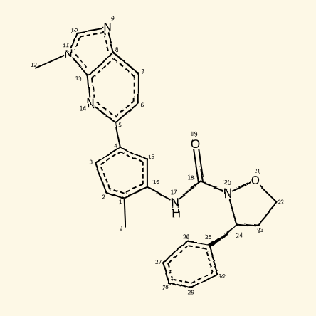 Cc1ccc(-c2ccc3ncn(C)c3n2)cc1NC(=O)N1OCC[C@H]1c1ccccc1